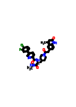 CNC(=O)[C@@H](CC1CCN(C(=O)Cc2ccc3[nH]c(=O)cc(C)c3c2)CC1)NC(=O)c1ccc(-c2ccc(Cl)c(F)c2)cn1